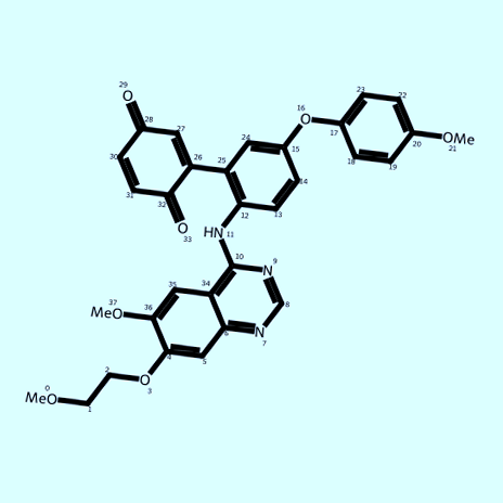 COCCOc1cc2ncnc(Nc3ccc(Oc4ccc(OC)cc4)cc3C3=CC(=O)C=CC3=O)c2cc1OC